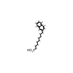 O=C(O)CCCCCCCCCc1ccc2ccccc2c1